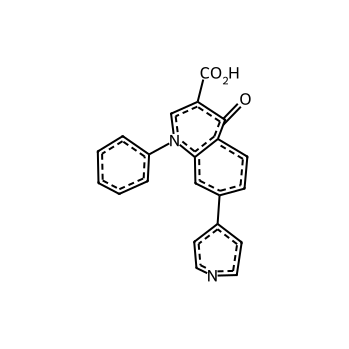 O=C(O)c1cn(-c2ccccc2)c2cc(-c3ccncc3)ccc2c1=O